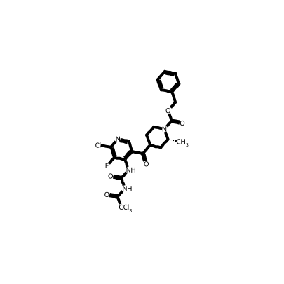 C[C@@H]1CC(C(=O)c2cnc(Cl)c(F)c2NC(=O)NC(=O)C(Cl)(Cl)Cl)CCN1C(=O)OCc1ccccc1